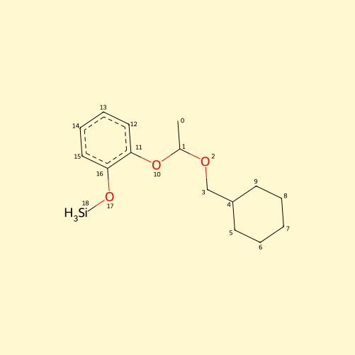 CC(OCC1CCCCC1)Oc1ccccc1O[SiH3]